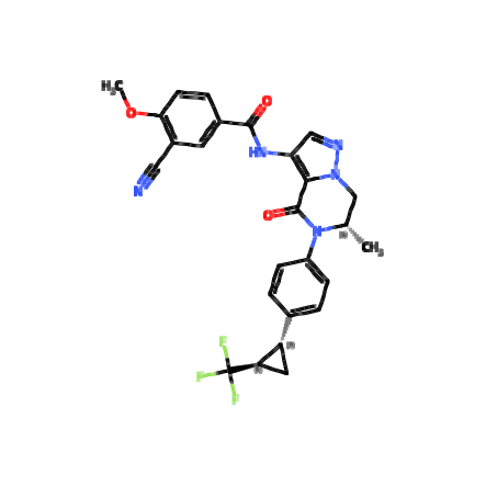 COc1ccc(C(=O)Nc2cnn3c2C(=O)N(c2ccc([C@@H]4C[C@H]4C(F)(F)F)cc2)[C@@H](C)C3)cc1C#N